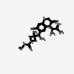 CC(C)c1cc2c(cc1[C@@H](C)C1(C)CN(C(=O)OC(C)(C)C)C1)N([C@H](C)C(N)=O)C(=N)CO2